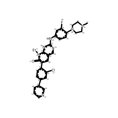 CCn1c(=O)c(-c2ccc(-c3cccnc3)cc2Cl)cc2cnc(Nc3ccc(N4CCN(C)CC4)c(F)c3)nc21